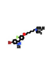 CCn1nc(-c2ccc(OCCCCCCN(C)C(=O)O)cc2F)c2ccc(Br)cc21